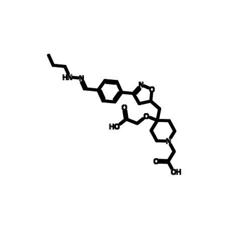 CCCNN=Cc1ccc(C2=NOC(CC3(OCC(=O)O)CCN(CC(=O)O)CC3)C2)cc1